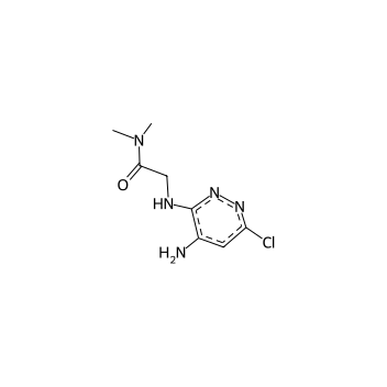 CN(C)C(=O)CNc1nnc(Cl)cc1N